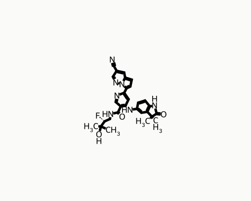 CC1(C)C(=O)Nc2ccc(Nc3cc(-c4ccc5cc(C#N)cnn45)ncc3C(=O)NC[C@@H](F)C(C)(C)O)cc21